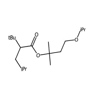 CC(C)CC(C(=O)OC(C)(C)CCOC(C)C)C(C)(C)C